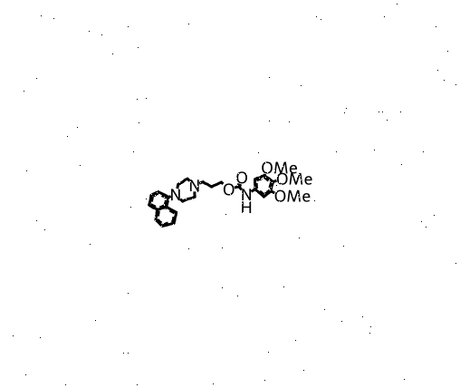 COc1cc(NC(=O)OCCCN2CCN(c3cccc4ccccc34)CC2)cc(OC)c1OC